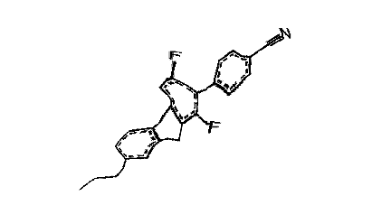 CCCc1ccc2c(c1)Cc1c-2cc(F)c(-c2ccc(C#N)cc2)c1F